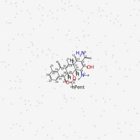 C=C(N)C1=C(O)[C@@H](N(C)C)[C@H]2[C@@H](C1=C)C(C)=C1C(=C)c3c(C)cccc3[C@H](C)[C@H]1[C@@H]2OC(=O)CCCCC